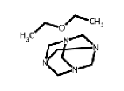 C1N2CN3CN1CN(C2)C3.CCOCC